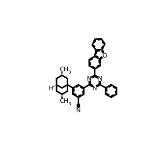 C[C@@H]1C[C@@H]2C[C@H](C)CC(c3cc(C#N)cc(-c4nc(-c5ccccc5)nc(-c5ccc6c(c5)oc5ccccc56)n4)c3)(C1)C2